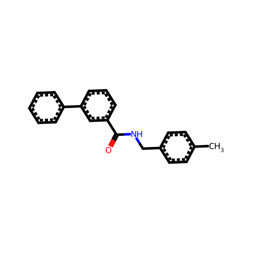 Cc1ccc(CNC(=O)c2cccc(-c3ccccc3)c2)cc1